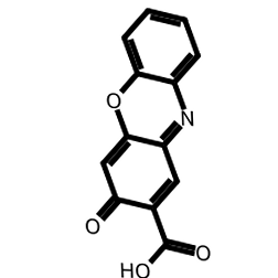 O=C(O)c1cc2nc3ccccc3oc-2cc1=O